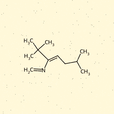 C=N/C(=C\CC(C)C)C(C)(C)C